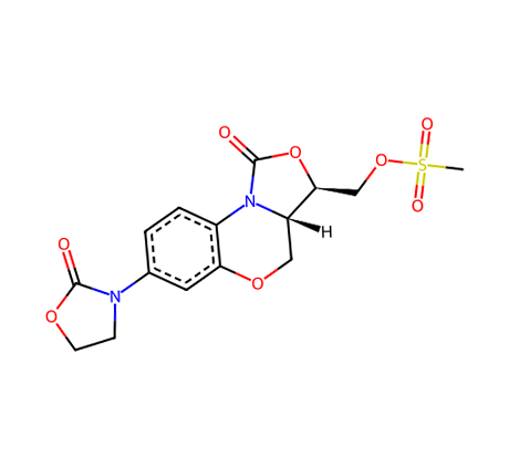 CS(=O)(=O)OC[C@@H]1OC(=O)N2c3ccc(N4CCOC4=O)cc3OC[C@@H]12